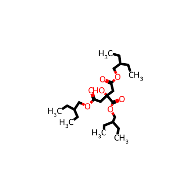 CCC(CC)COC(=O)CC(O)(CC(=O)OCC(CC)CC)C(=O)OCC(CC)CC